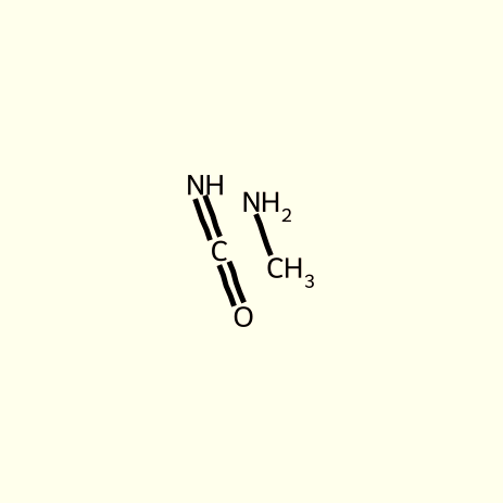 CN.N=C=O